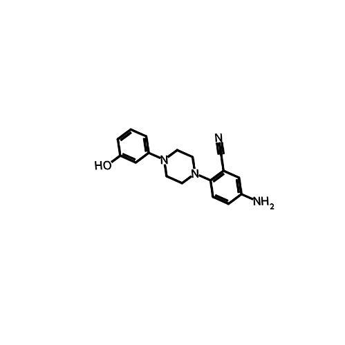 N#Cc1cc(N)ccc1N1CCN(c2cccc(O)c2)CC1